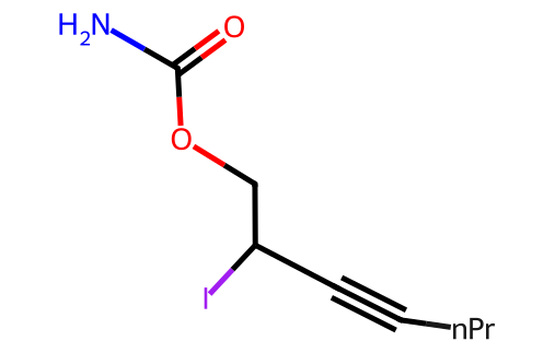 CCCC#CC(I)COC(N)=O